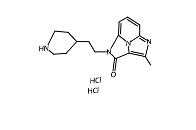 Cc1nc2cccc3n(CCC4CCNCC4)c(=O)c1n23.Cl.Cl